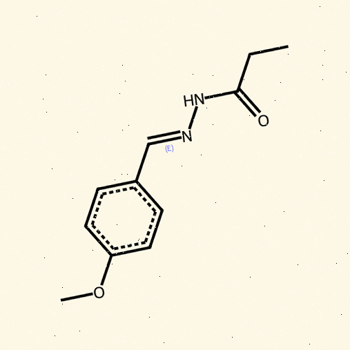 CCC(=O)N/N=C/c1ccc(OC)cc1